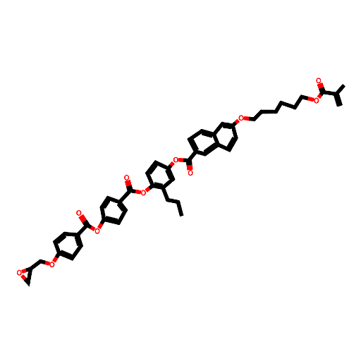 C=C(C)C(=O)OCCCCCCOc1ccc2cc(C(=O)Oc3ccc(OC(=O)c4ccc(OC(=O)c5ccc(OCC6CO6)cc5)cc4)c(CCC)c3)ccc2c1